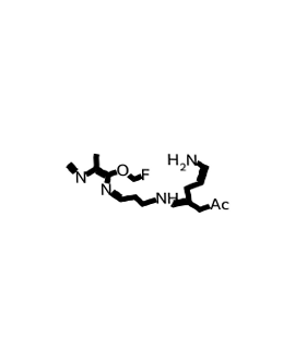 C=N/C(C)=C(\N=C/CCN/C=C(\C/C=C\N)CC(C)=O)OCF